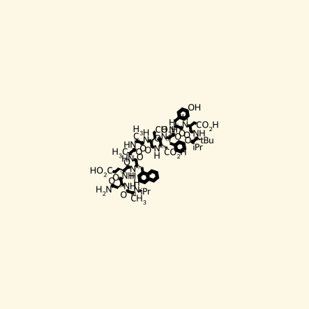 CC(C)N[C@H](C)C(=O)N[C@@H](CC(N)=O)C(=O)N[C@@H](CCC(=O)O)C(=O)N[C@@H](Cc1cccc2ccccc12)C(=O)N[C@H](C)C(=O)N[C@H](C)C(=O)N[C@@H](CCC(=O)O)C(=O)N[C@@H](CC(=O)O)C(=O)N[C@@H](Cc1ccccc1)C(=O)N[C@@H](Cc1ccc(O)cc1)C(=O)NC(CC(=O)O)C(=O)N[C@H](C(=O)C(C)C)C(C)(C)C